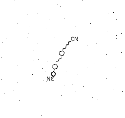 N#CC=CC=CCC[C@H]1CC[C@H](CCCC[C@H]2CC[C@H](c3ccc(C#N)cc3)CC2)CC1